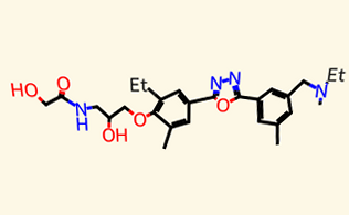 CCc1cc(-c2nnc(-c3cc(C)cc(CN(C)CC)c3)o2)cc(C)c1OCC(O)CNC(=O)CO